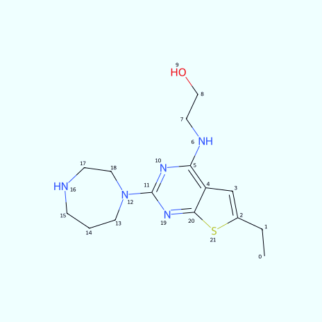 CCc1cc2c(NCCO)nc(N3CCCNCC3)nc2s1